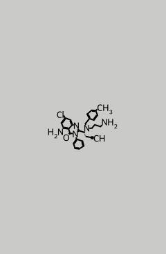 C#CC[C@H](c1nc2cc(Cl)cc(N)c2c(=O)n1-c1ccccc1)N(CCCN)Cc1ccc(C)cc1